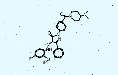 CC(C)Oc1cc(F)ccc1NNC1C(=O)N(c2ccc(C(=O)N3CCC(N(C)C)CC3)cc2)N=C1c1ccccc1